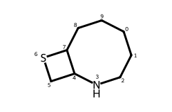 C1CCNC2CSC2CC1